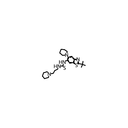 CC(C)(C)c1nc2cc(N3CCCCC3)c(NC(=S)NCCCN3CCCCC3)cc2s1